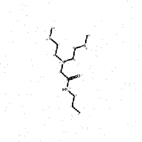 CCCNC(=O)CN(CCSC)CCSC